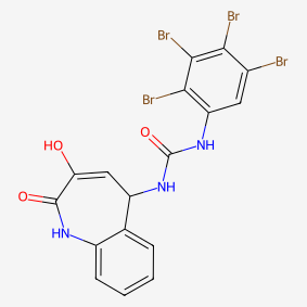 O=C(Nc1cc(Br)c(Br)c(Br)c1Br)NC1C=C(O)C(=O)Nc2ccccc21